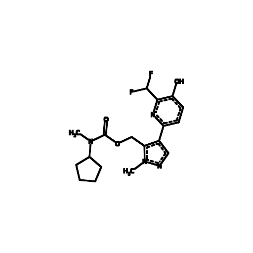 CN(C(=O)OCc1c(-c2ccc(O)c(C(F)F)n2)cnn1C)C1CCCC1